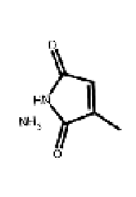 CC1=CC(=O)NC1=O.N